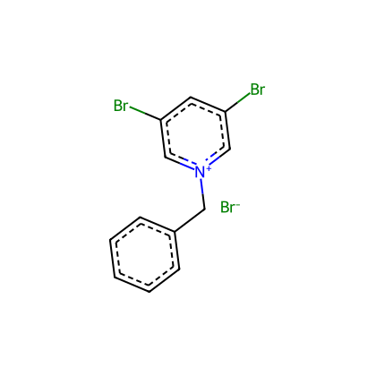 Brc1cc(Br)c[n+](Cc2ccccc2)c1.[Br-]